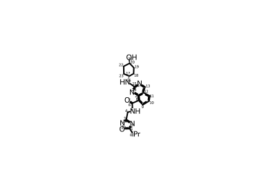 CC(C)c1nc(CNC(=O)c2cccc3cnc(N[C@H]4CC[C@H](O)CC4)nc23)no1